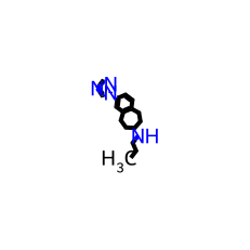 CCCN[C@H]1CCc2ccc(-n3cncn3)cc2CC1